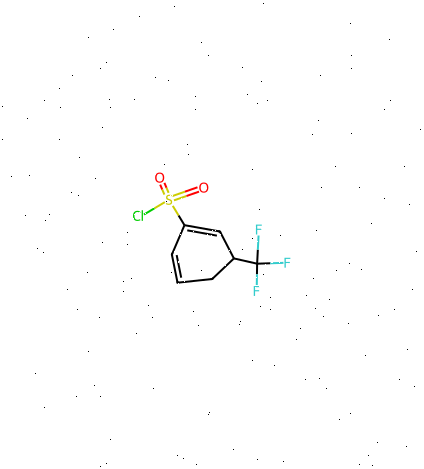 O=S(=O)(Cl)C1=CC(C(F)(F)F)CC=C1